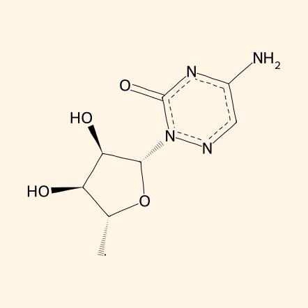 [CH2][C@H]1O[C@@H](n2ncc(N)nc2=O)[C@H](O)[C@@H]1O